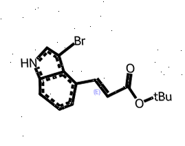 CC(C)(C)OC(=O)/C=C/c1cccc2[nH]cc(Br)c12